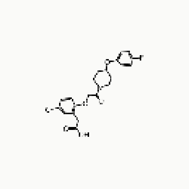 O=C(O)Cc1cc(Cl)ccc1OCC(=O)N1CCC(Oc2ccc(F)cc2)CC1